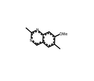 COc1cc2nc(C)ncc2cc1C